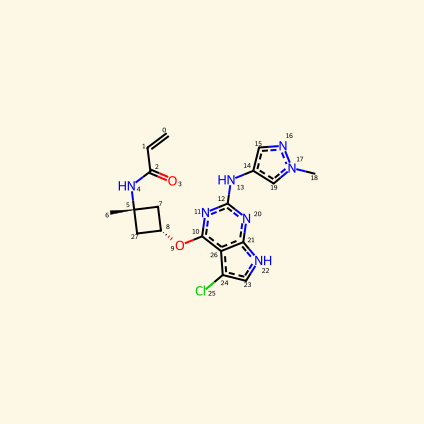 C=CC(=O)N[C@]1(C)C[C@H](Oc2nc(Nc3cnn(C)c3)nc3[nH]cc(Cl)c23)C1